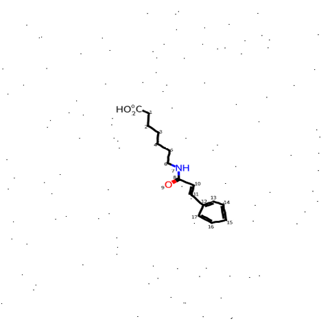 O=C(O)CCCCCCNC(=O)/C=C/c1ccccc1